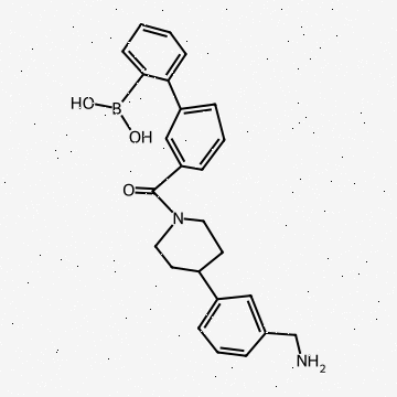 NCc1cccc(C2CCN(C(=O)c3cccc(-c4ccccc4B(O)O)c3)CC2)c1